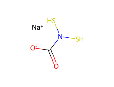 O=C([O-])N(S)S.[Na+]